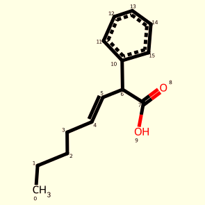 CCCCC=CC(C(=O)O)c1ccccc1